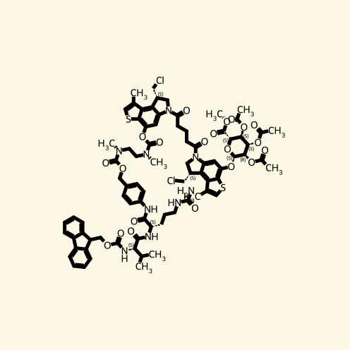 COC(=O)[C@H]1O[C@@H](Oc2cc3c(c4c(C)csc24)[C@H](CCl)CN3C(=O)CCCC(=O)N2C[C@@H](CCl)c3c2cc(OC(=O)N(C)CCN(C)C(=O)OCc2ccc(NC(=O)[C@H](CCCNC(N)=O)NC(=O)[C@@H](NC(=O)OCC4c5ccccc5-c5ccccc54)C(C)C)cc2)c2scc(C)c32)[C@H](OC(C)=O)[C@@H](OC(C)=O)[C@@H]1OC(C)=O